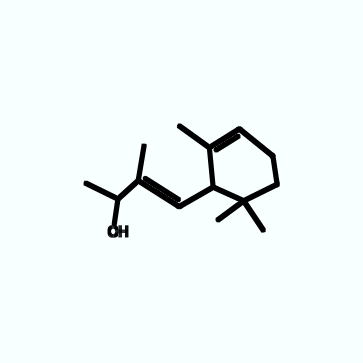 CC(=CC1C(C)=CCCC1(C)C)C(C)O